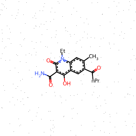 CCCC(=O)c1cc2c(O)c(C(N)=O)c(=O)n(CC)c2cc1C